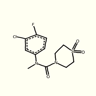 CN(C(=O)N1CCS(=O)(=O)CC1)c1ccc(F)c(Cl)c1